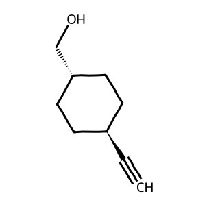 C#C[C@H]1CC[C@H](CO)CC1